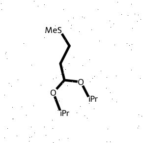 CSCCC(OC(C)C)OC(C)C